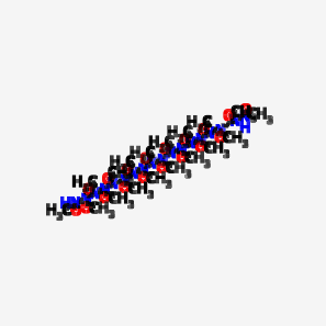 CCC(=O)NCCN(CCN(CCN(CCN(CCN(CCN(CCN(CCN(CCN(CCN(CCN(CCN(CCN(CCN(CCN(CCCCN(CCNC(C)=O)C(C)=O)C(=O)CC)C(=O)CC)C(=O)CC)C(=O)CC)C(=O)CC)C(=O)CC)C(=O)CC)C(=O)CC)C(=O)CC)C(=O)CC)C(=O)CC)C(=O)CC)C(=O)CC)C(=O)CC)C(=O)CC